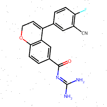 N#Cc1cc(C2=CCOc3ccc(C(=O)N=C(N)N)cc32)ccc1F